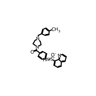 Cc1ccc(CN2CCN(C(=O)c3ccc(N[S+]([O-])c4cccc5cccnc45)cc3)CC2)cc1